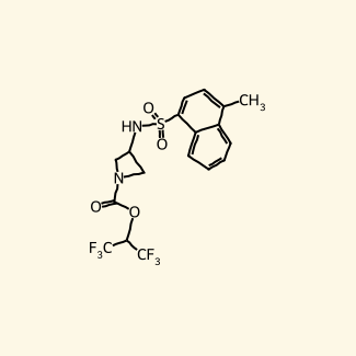 Cc1ccc(S(=O)(=O)NC2CN(C(=O)OC(C(F)(F)F)C(F)(F)F)C2)c2ccccc12